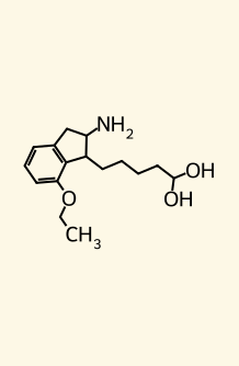 CCOc1cccc2c1C(CCCCC(O)O)C(N)C2